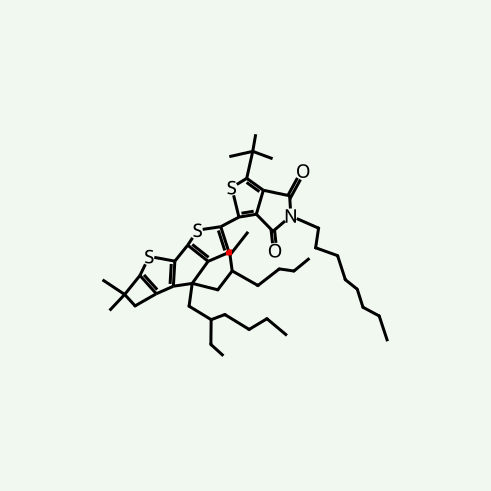 CCCCCCCCN1C(=O)c2c(-c3cc4c(s3)-c3sc5c(c3C4(CC(CC)CCCC)CC(CC)CCCC)CC5(C)C)sc(C(C)(C)C)c2C1=O